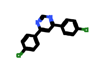 Clc1ccc(-c2cc(-c3ccc(Cl)cc3)ncn2)cc1